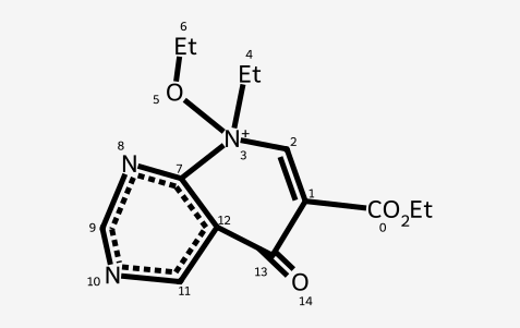 CCOC(=O)C1=C[N+](CC)(OCC)c2ncncc2C1=O